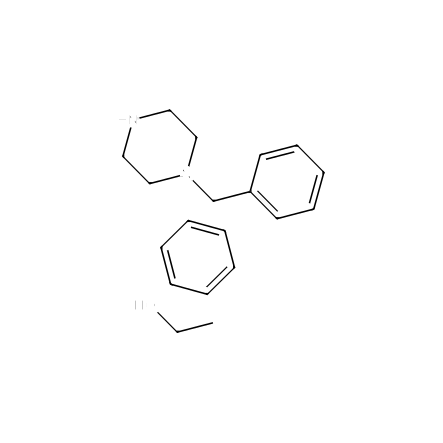 CCO.c1ccc(CN2CCNCC2)cc1.c1ccccc1